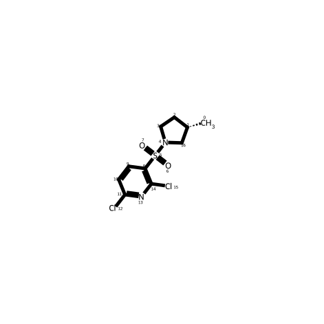 C[C@H]1CCN(S(=O)(=O)c2ccc(Cl)nc2Cl)C1